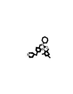 Cc1cc(C)c(NC(=O)N(Cc2ccc(Cc3ccncc3)cc2)C2CCCCCC2)c(C)c1